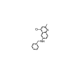 Cc1cc(Cl)c2cc(NCc3ccccc3)ccc2n1